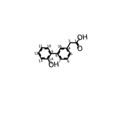 O=C(O)Cc1cccc(-c2ccccc2O)c1